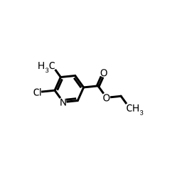 CCOC(=O)c1cnc(Cl)c(C)c1